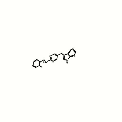 Cc1cnccc1CNc1ncc(Cc2c[nH]c3ncncc23)cn1